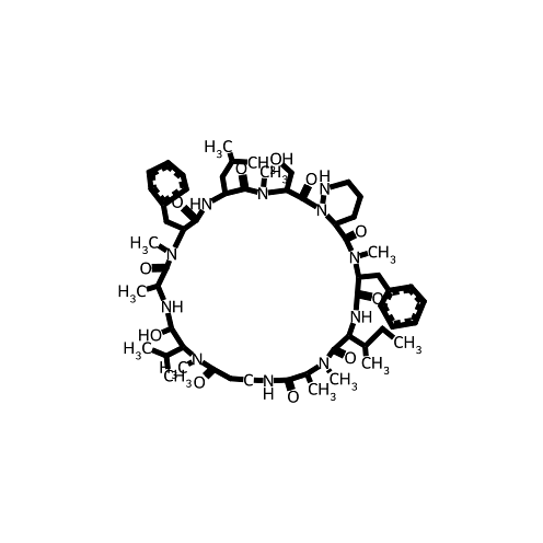 CCC(C)C1NC(=O)C(Cc2ccccc2)N(C)C(=O)C2CCCNN2C(=O)C(CO)N(C)C(=O)C(CC(C)C)NC(=O)C(Cc2ccccc2)N(C)C(=O)C(C)NC(O)C(C(C)C)N(C)C(=O)CCNC(=O)C(C)N(C)C1=O